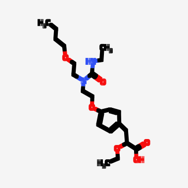 CCCCOCCN(CCOc1ccc(CC(OCC)C(=O)O)cc1)C(=O)NCC